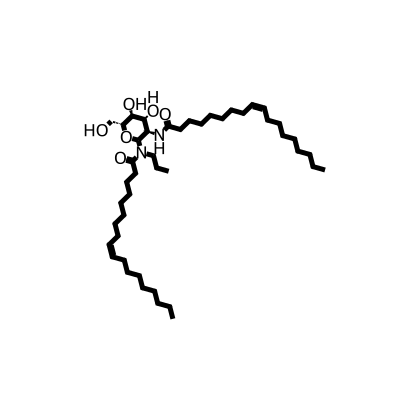 CCCCCCCC/C=C\CCCCCCCC(=O)N[C@H]1C(N(CCC)C(=O)CCCCCCC/C=C\CCCCCCCC)O[C@H](CO)[C@@H](O)[C@@H]1O